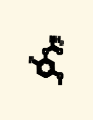 COc1ccc(F)c(OC(N)=O)c1